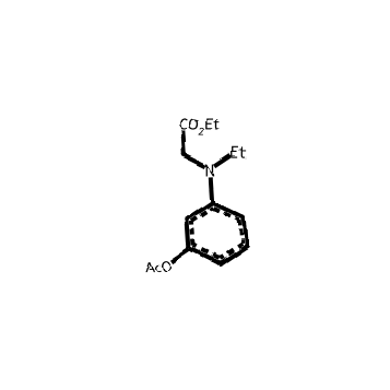 CCOC(=O)CN(CC)c1cccc(OC(C)=O)c1